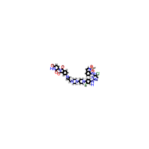 CS(=O)(=O)n1ccc2cccc(Nc3nc(Nc4ccc(N5CCC(N6CCN(CC7CN(c8ccc9c(c8)C(=O)N(C8CCC(=O)NC8=O)C9=O)C7)CC6)CC5)c(F)c4)ncc3Cl)c21